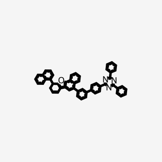 C1=Cc2c(oc3c2cc(-c2cccc(-c4ccc(-c5nc(-c6ccccc6)nc(-c6ccccc6)n5)cc4)c2)c2ccccc23)C(c2cccc3ccccc23)C1